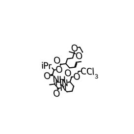 C/C=C/CC(CCC1(C)OCCO1)C(=O)OC(C(=O)NC(C)C(=O)N1CCCC(C(=O)OCC(Cl)(Cl)Cl)N1)C(C)C